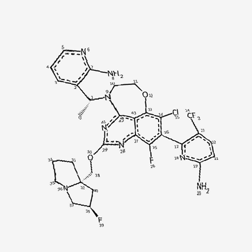 C[C@H](c1cccnc1N)N1CCOc2c(Cl)c(-c3nc(N)ccc3C(F)(F)F)c(F)c3nc(OC[C@@]45CCCN4C[C@H](F)C5)nc1c23